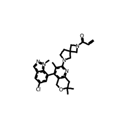 C=CC(=O)N1CC2(CCN(c3nc4c(c(-c5cc(Cl)cc6cnn(C)c56)c3C)COC(C)(C)C4)C2)C1